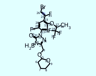 Bn1c(COC2CCCCO2)nn(-c2cc(O[C@@H](C)C(F)(F)F)c(/C(F)=C/Br)cc2F)c1=O